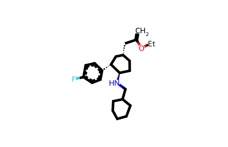 C=C(C[C@@H]1CC[C@@H](NCC2CCCCC2)[C@H](c2ccc(F)cc2)C1)OCC